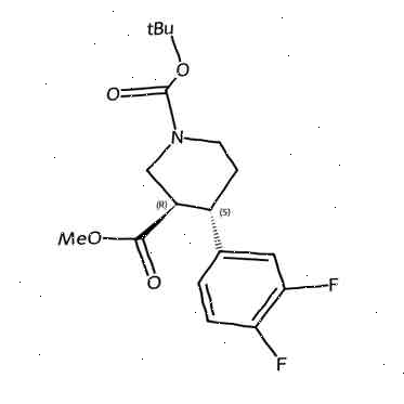 COC(=O)[C@H]1CN(C(=O)OC(C)(C)C)CC[C@@H]1c1ccc(F)c(F)c1